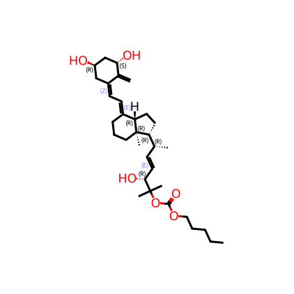 C=C1/C(=C\C=C2/CCC[C@]3(C)[C@@H]([C@H](C)/C=C/[C@@H](O)C(C)(C)OC(=O)OCCCCC)CC[C@@H]23)C[C@@H](O)C[C@@H]1O